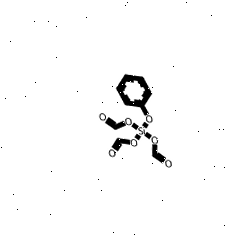 O=CO[Si](OC=O)(OC=O)Oc1ccccc1